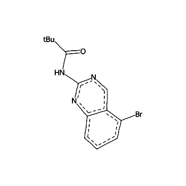 CC(C)(C)C(=O)Nc1ncc2c(Br)cccc2n1